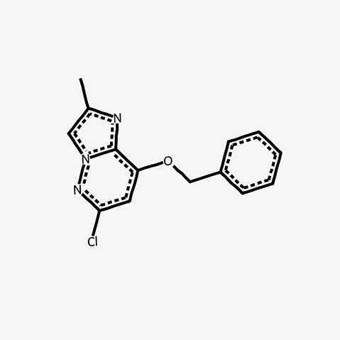 Cc1cn2nc(Cl)cc(OCc3ccccc3)c2n1